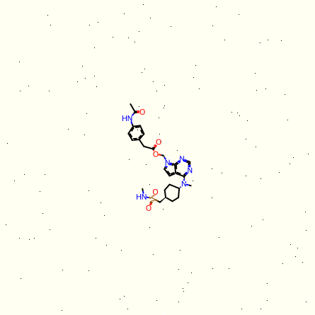 CNS(=O)(=O)C[C@H]1CC[C@H](N(C)c2ncnc3c2ccn3COC(=O)Cc2ccc(NC(C)=O)cc2)CC1